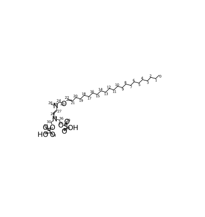 CCCCCCCCCCCCCCCCCCCCCC=COCN(C)C=CN(COS(=O)(=O)O)COS(=O)(=O)O